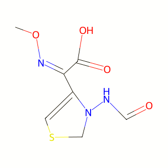 CON=C(C(=O)O)C1=CSCN1NC=O